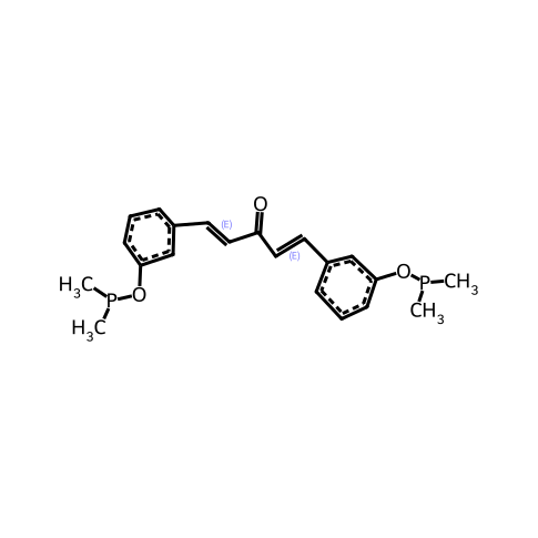 CP(C)Oc1cccc(/C=C/C(=O)/C=C/c2cccc(OP(C)C)c2)c1